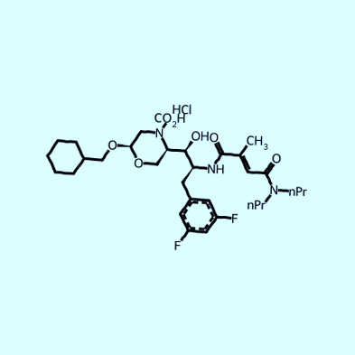 CCCN(CCC)C(=O)C=C(C)C(=O)N[C@@H](Cc1cc(F)cc(F)c1)[C@H](O)[C@H]1CO[C@@H](OCC2CCCCC2)CN1C(=O)O.Cl